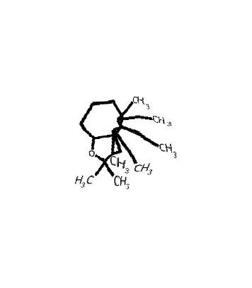 CC1C(C)(C)C2CCCC3OC(C)(C)CC32C1(C)C